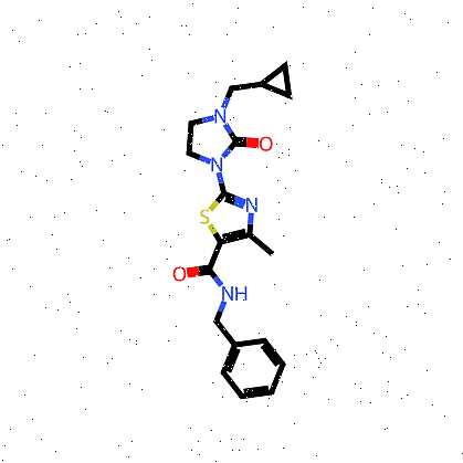 Cc1nc(N2CCN(CC3CC3)C2=O)sc1C(=O)NCc1ccccc1